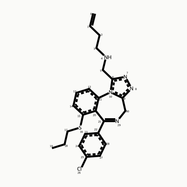 C=CCCNCc1nnc2n1-c1cccc(SCCC)c1C(c1ccc(Cl)cc1)=NC2